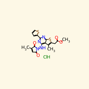 COC(=O)Cc1sc2nc(-c3cccs3)nc(NN3C(=O)C=C(C)C3=O)c2c1C.Cl